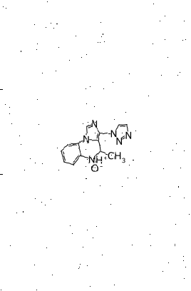 CC1c2c(-n3ccnn3)ncn2-c2ccccc2[NH+]1[O-]